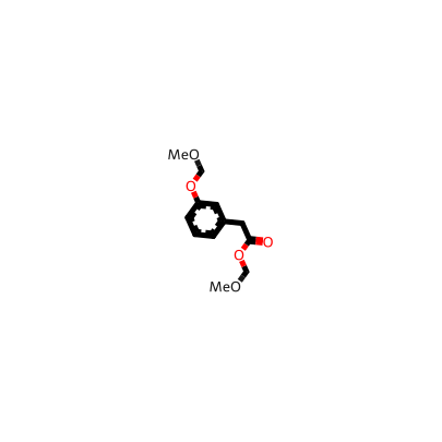 COCOC(=O)Cc1cccc(OCOC)c1